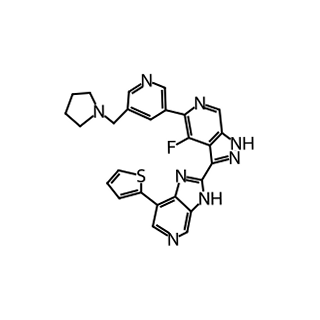 Fc1c(-c2cncc(CN3CCCC3)c2)ncc2[nH]nc(-c3nc4c(-c5cccs5)cncc4[nH]3)c12